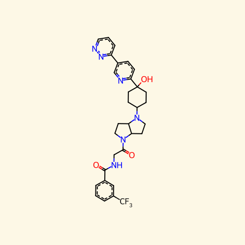 O=C(NCC(=O)N1CCC2C1CCN2C1CCC(O)(c2ccc(-c3cccnn3)cn2)CC1)c1cccc(C(F)(F)F)c1